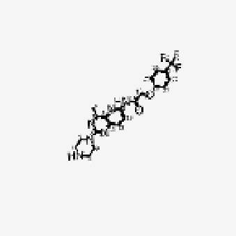 Cc1nc(N2CCNCC2)nc2ccc(NC(=O)COc3ccc(C(F)(F)F)cc3)nc12